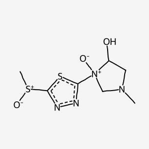 CN1CC(O)[N+]([O-])(c2nnc([S+](C)[O-])s2)C1